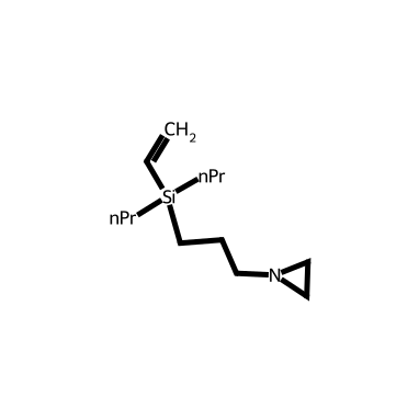 C=C[Si](CCC)(CCC)CCCN1CC1